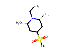 CCN1[C@H](C)CC(S(C)(=O)=O)C[C@@H]1C